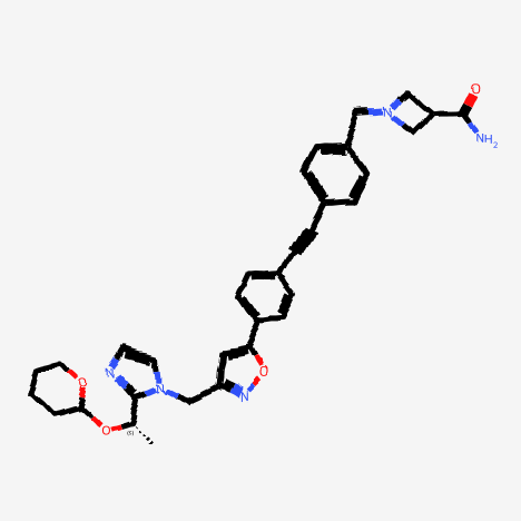 C[C@H](OC1CCCCO1)c1nccn1Cc1cc(-c2ccc(C#Cc3ccc(CN4CC(C(N)=O)C4)cc3)cc2)on1